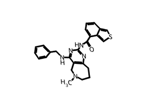 CN1CCCc2nc(NC(=O)c3cccc4cscc34)nc(NCc3ccccc3)c2C1